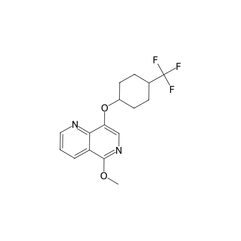 COc1ncc(OC2CCC(C(F)(F)F)CC2)c2ncccc12